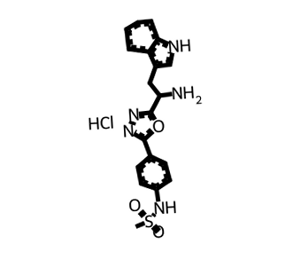 CS(=O)(=O)Nc1ccc(-c2nnc(C(N)Cc3c[nH]c4ccccc34)o2)cc1.Cl